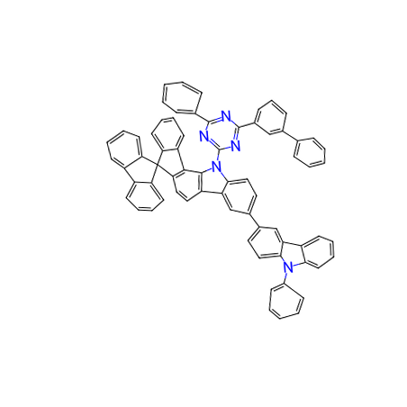 c1ccc(-c2cccc(-c3nc(-c4ccccc4)nc(-n4c5ccc(-c6ccc7c(c6)c6ccccc6n7-c6ccccc6)cc5c5ccc6c(c54)-c4ccccc4C64c5ccccc5-c5ccccc54)n3)c2)cc1